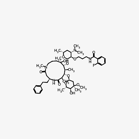 CO[C@]1(C)C[C@H](O[C@H]2[C@H](C)[C@@H](O[C@@H]3O[C@H](C)C[C@H](N(C)C)[C@H]3OCCCNC(=O)c3ccccc3F)[C@](C)(O)CCCN(C)C(=O)C[C@H](CCc3ccccc3)NC(=O)[C@@H]2C)O[C@@H](C)[C@@H]1O